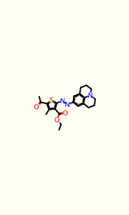 CCOC(=O)c1c(N=Nc2cc3c4c(c2)CCCN4CCC3)sc(C(C)=O)c1C